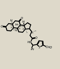 CC(C)C(NC(=O)C[C@@H](C)C1CC[C@H]2[C@@H]3C(=O)C[C@@H]4CC(=O)CC[C@]4(C)[C@H]3CC[C@]12C)c1ccc(C=O)s1